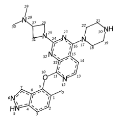 Cc1ccc2[nH]ncc2c1Oc1nccc2c(N3CCNCC3)nc(N3CC(N(C)C)C3)nc12